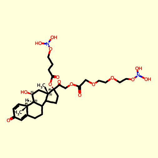 C[C@]12C=CC(=O)C=C1CCC1C3CC[C@](OC(=O)CCCON(O)O)(C(=O)COC(=O)COCCOCCON(O)O)[C@@]3(C)C[C@H](O)[C@@H]12